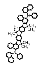 CC1(C)c2cc3c(cc2-c2cc4c(cc21)-c1c(cc(N(c2ccccc2)c2cccc5ccccc25)c2ccccc12)C4(C)C)C(C)(C)c1cc(N(c2ccccc2)c2cccc4ccccc24)c2ccccc2c1-3